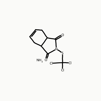 N.O=C1C2CC=CCC2C(=O)N1SC(Cl)(Cl)Cl